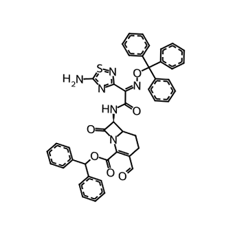 Nc1nc(/C(=N\OC(c2ccccc2)(c2ccccc2)c2ccccc2)C(=O)N[C@@H]2C(=O)N3C(C(=O)OC(c4ccccc4)c4ccccc4)=C(C=O)CCC23)ns1